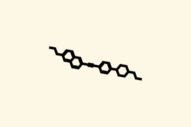 CCCc1ccc2cc(C#Cc3ccc(C4CCC(CCC)CC4)cc3)ccc2c1